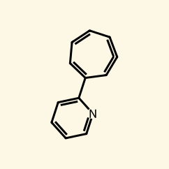 C1=CC=CC=C(c2ccccn2)C=1